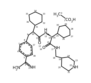 CC(=O)O.N=C(N)c1ccc(CC(C(=O)N[C@H](C(=O)NCC2CCNCC2)C2CCCCC2)C2CCCCC2)cc1